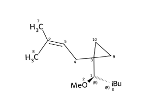 CC[C@@H](C)[C@@H](OC)C1(CC=C(C)C)CC1